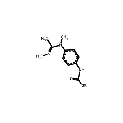 CN=C(C)N(C)c1ccc(NC(=O)C(C)(C)C)cc1